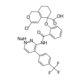 O=C(Nc1nnccc1-c1ccc(C(F)(F)F)cc1)c1ccccc1OC1(C(=O)O)CCCC2=C1C=C(Cl)OC2.[NaH]